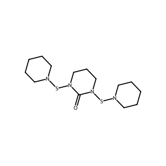 O=C1N(SN2CCCCC2)CCCN1SN1CCCCC1